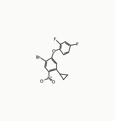 O=[N+]([O-])c1cc(Br)c(Oc2ccc(F)cc2F)cc1C1CC1